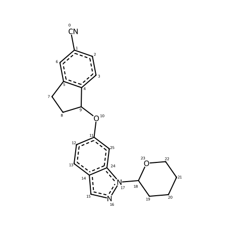 N#Cc1ccc2c(c1)CCC2Oc1ccc2cnn(C3CCCCO3)c2c1